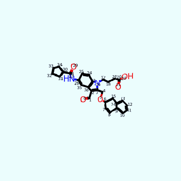 O=Cc1c(COc2ccc3ccccc3c2)n(CCCC(=O)O)c2ccc(NC(=O)C3CCCC3)cc12